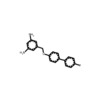 Nc1cc(N)cc(COc2ccc(-c3ccc(F)cc3)cc2)c1